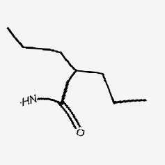 CCCC(CCC)C([NH])=O